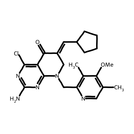 COc1c(C)cnc(CN2CC(=CC3CCCC3)C(=O)c3c(Cl)nc(N)nc32)c1C